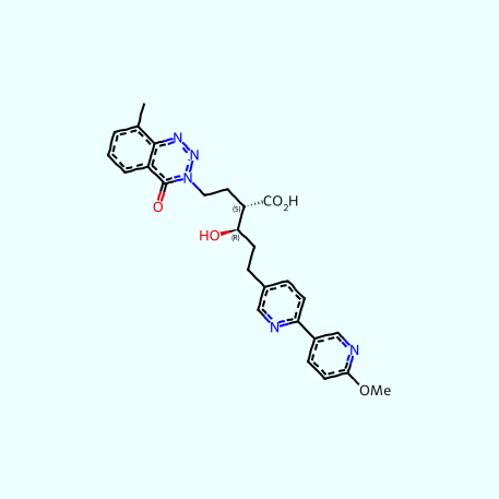 COc1ccc(-c2ccc(CC[C@@H](O)[C@H](CCn3nnc4c(C)cccc4c3=O)C(=O)O)cn2)cn1